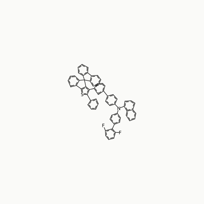 Fc1cccc(F)c1-c1ccc(N(c2ccc(-c3cccc(-c4c(-c5ccccc5)sc5c4C4(c6ccccc6-c6ccccc64)c4ccccc4-5)c3)cc2)c2cccc3ccccc23)cc1